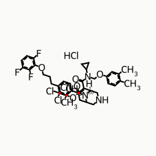 Cc1ccc(OCN(C(=O)C2=C(c3ccc(CCCOc4c(F)ccc(F)c4F)cc3)CC3CNC[C@H]2N3C(=O)OC(C)(C)C(Cl)(Cl)Cl)C2CC2)cc1C.Cl